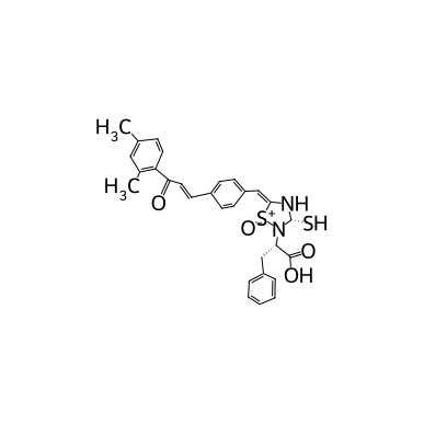 Cc1ccc(C(=O)/C=C/c2ccc(/C=C3/N[C@H](S)N([C@@H](Cc4ccccc4)C(=O)O)[S+]3[O-])cc2)c(C)c1